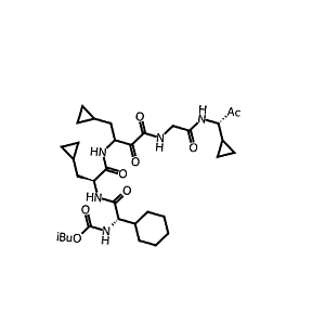 CC(=O)[C@@H](NC(=O)CNC(=O)C(=O)C(CC1CC1)NC(=O)[C@H](CC1CC1)NC(=O)[C@@H](NC(=O)OCC(C)C)C1CCCCC1)C1CC1